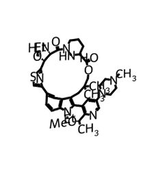 CCO[C@@H]1c2nc(cs2)-c2ccc3c(c2)c(c(-c2cc(N4CCN(C)CC4)cnc2[C@H](C)OC)n3CC)CC(C)(C)COC(=O)[C@@H]2CCCN(N2)C(=O)[C@H]1N